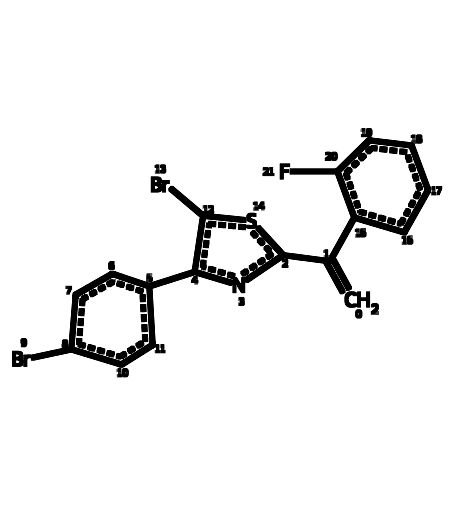 C=C(c1nc(-c2ccc(Br)cc2)c(Br)s1)c1ccccc1F